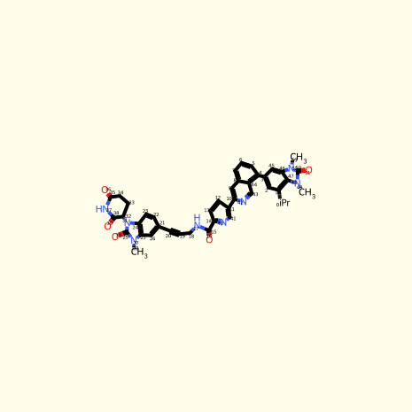 CC(C)c1cc(-c2cccc3cc(-c4ccc(C(=O)NCC#Cc5ccc6c(c5)n(C)c(=O)n6C5CCC(=O)NC5=O)nc4)ncc23)cc2c1n(C)c(=O)n2C